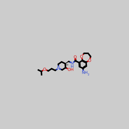 CC(C)OCCCN1CC[C@@H](CNC(=O)c2cc(N)cc3c2OCCCO3)C(O)C1